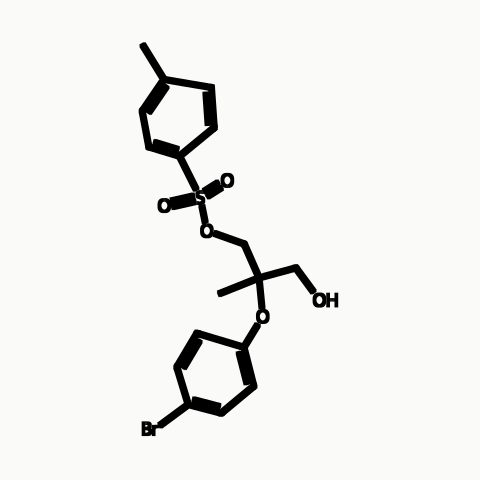 Cc1ccc(S(=O)(=O)OCC(C)(CO)Oc2ccc(Br)cc2)cc1